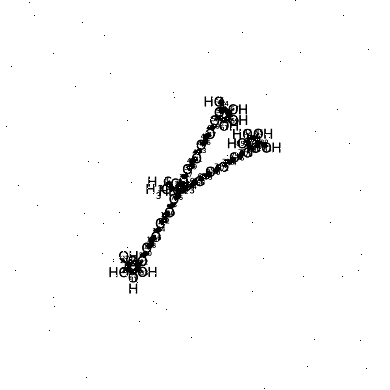 CC(C)(C)NC(COCCOCCOCCOCCOCCO[C@@H]1O[C@H](CO)[C@H](O)[C@H](O)[C@H]1O)(COCCOCCOCCOCCOCCO[C@@H]1O[C@H](CO)[C@H](O)[C@H](O)[C@H]1O)COCCOCCOCCOCCOCCO[C@@H]1O[C@H](CO)[C@H](O)[C@H](O)[C@H]1O